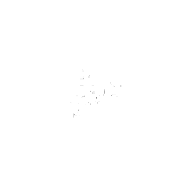 COC(=N)CN1N=C(c2ccc(Cl)cc2)N(C[C@H](O)C(F)(F)F)C1O